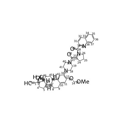 C#C[C@]1(O)CC[C@H]2[C@@H]3CCc4cc(OCOC)c(N5CCN(C(=O)[C@@H]6CCCN6C(=O)c6ccc7ccccc7n6)CC5)cc4[C@H]3CC[C@@]21C